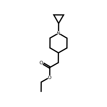 CCOC(=O)CC1CCN(C2CC2)CC1